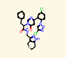 O=C(NCc1n[nH]c2c1CCCC2)C(Cc1ccccc1)n1cnc(-c2cc(Cl)ccc2-n2cc(Cl)nn2)cc1=O